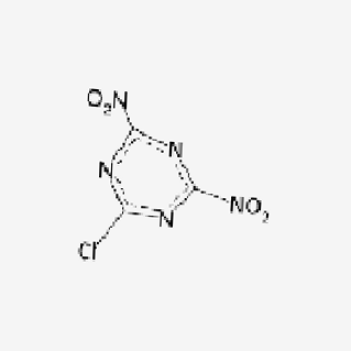 O=[N+]([O-])c1nc(Cl)nc([N+](=O)[O-])n1